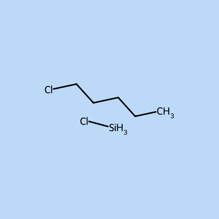 CCCCCCl.[SiH3]Cl